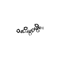 O=C(OCCCN(Cc1ccccc1)Cc1ccccc1)N1CCC(n2c(=O)[nH]c3ccccc32)CC1